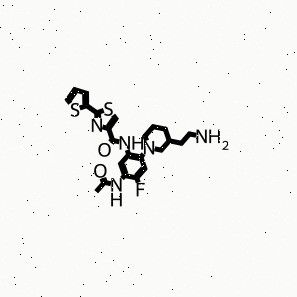 CC(=O)Nc1cc(NC(=O)c2csc(-c3cccs3)n2)c(N2CCCC(CCN)C2)cc1F